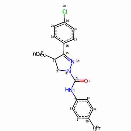 CCCCCCCCCCC1CN(C(=O)Nc2ccc(CCC)cc2)N=C1c1ccc(Cl)cc1